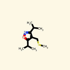 CSCc1c(C(C)C)noc1C(C)C